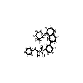 O=S(=O)(NCc1ccccc1)c1cccc(-c2ccc3nccc(N4CCCC(F)(F)C4)c3n2)c1